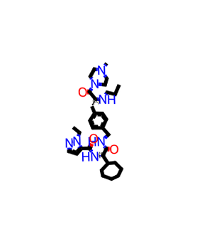 CCCN[C@H](Cc1ccc(CNC(=O)[C@@H](NC(=O)c2ccnn2CC)C2CCCCCC2)cc1)C(=O)N1CCN(C)CC1